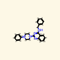 c1ccc(CNc2nc(N3CCN(c4ccccc4)CC3)nc3ccccc23)cc1